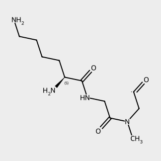 CN(C[C]=O)C(=O)CNC(=O)[C@@H](N)CCCCN